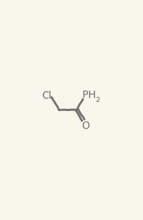 O=C(P)CCl